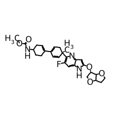 COC(=O)NC1CC=C(C2=CC[C@](C)(c3nc4cc(O[C@@H]5COC6CCOC65)[nH]c4cc3F)C=C2)CC1